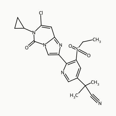 CCS(=O)(=O)c1cc(C(C)(C)C#N)cnc1-c1cn2c(=O)n(C3CC3)c(Cl)cc2n1